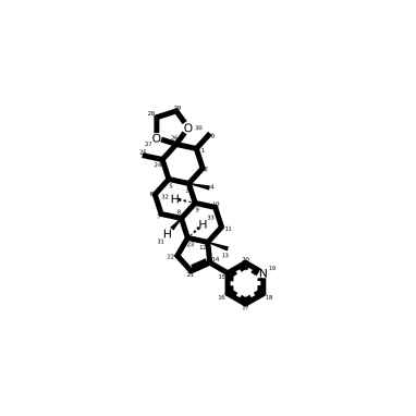 CC1C[C@@]2(C)C(CC[C@@H]3[C@@H]2CC[C@]2(C)C(c4cccnc4)=CC[C@@H]32)C(C)C12OCCO2